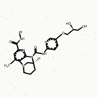 Cc1cc(C(=O)NC(C)C)nc2c1N1CCC[C@@H](C1)N2C(=O)Nc1ccc(OC[C@@H](O)CO)cn1